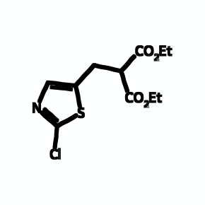 CCOC(=O)C(Cc1cnc(Cl)s1)C(=O)OCC